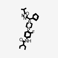 CCC(CC)C(=O)Nc1ccc(N2CCN(C(c3ccccc3)c3nnc(C(C)C)o3)CC2)c(F)c1